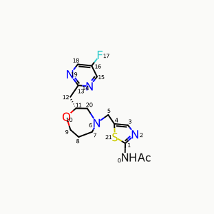 CC(=O)Nc1ncc(CN2CCCO[C@H](Cc3ncc(F)cn3)C2)s1